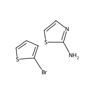 Brc1cccs1.Nc1nccs1